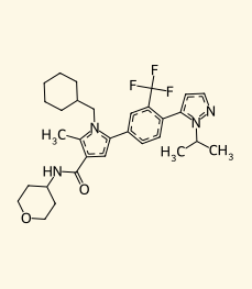 Cc1c(C(=O)NC2CCOCC2)cc(-c2ccc(-c3ccnn3C(C)C)c(C(F)(F)F)c2)n1CC1CCCCC1